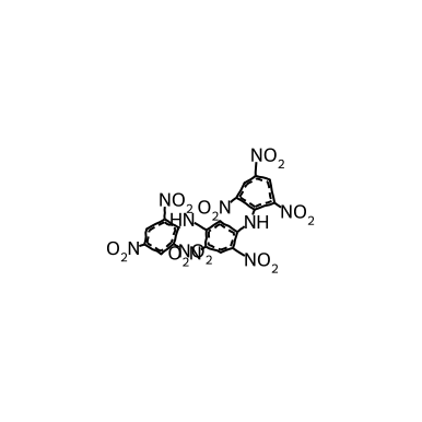 O=[N+]([O-])c1cc([N+](=O)[O-])c(Nc2cc(Nc3c([N+](=O)[O-])cc([N+](=O)[O-])cc3[N+](=O)[O-])c([N+](=O)[O-])cc2[N+](=O)[O-])c([N+](=O)[O-])c1